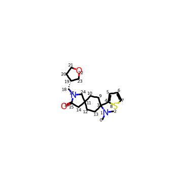 CN(C)C1(c2cccs2)CCC2(CC1)CC(=O)N(C[C@@H]1CCOC1)C2